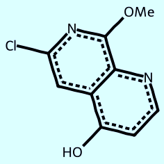 COc1nc(Cl)cc2c(O)ccnc12